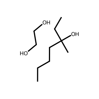 CCCCC(C)(O)CC.OCCO